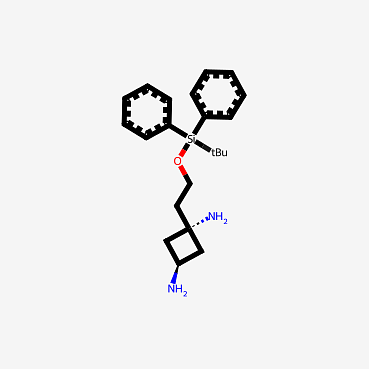 CC(C)(C)[Si](OCC[C@]1(N)C[C@H](N)C1)(c1ccccc1)c1ccccc1